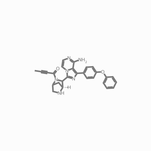 CC#CC(=O)N1C2CN[C@@H](C2)C1c1nc(-c2ccc(Oc3ccccc3)cc2)c2c(N)nccn12